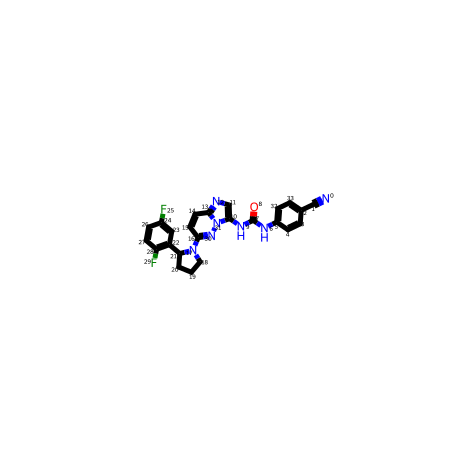 N#Cc1ccc(NC(=O)Nc2cnc3ccc(N4CCCC4c4cc(F)ccc4F)nn23)cc1